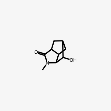 CN1C(=O)C2CC3CC2C1C3O